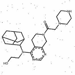 O=C(CN1CCNCC1)N1CCc2c(ncnc2N(CCO)C2C3CC4CC(C3)CC2C4)C1